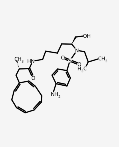 CC(C)CN([C@H](CO)CCCCNC(=O)[C@@H](C)CC1=C/C/C=C\C=C/C/C=C\1)S(=O)(=O)c1ccc(N)cc1